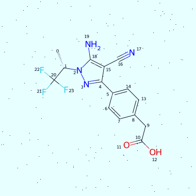 C[C@H](n1nc(-c2ccc(CC(=O)O)cc2)c(C#N)c1N)C(F)(F)F